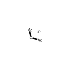 CC(=O)OC(C)=O.[Ir]